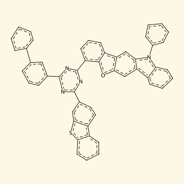 c1ccc(-c2cccc(-c3nc(-c4ccc5c(c4)sc4ccccc45)nc(-c4cccc5c4oc4cc6c7ccccc7n(-c7ccccc7)c6cc45)n3)c2)cc1